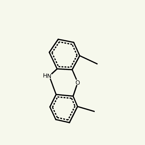 Cc1cccc2c1Oc1c(C)cccc1N2